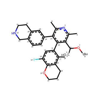 Cc1nc(C)c(C(OC(C)(C)C)C(=O)O)c(-c2cc(F)c3c(c2C)CCCO3)c1-c1ccc2c(c1)CCNC2